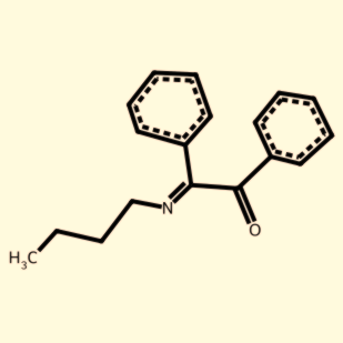 CCCC/N=C(/C(=O)c1ccccc1)c1ccccc1